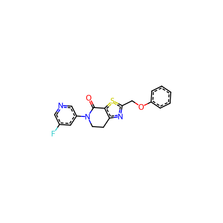 O=C1c2sc(COc3ccccc3)nc2CCN1c1cncc(F)c1